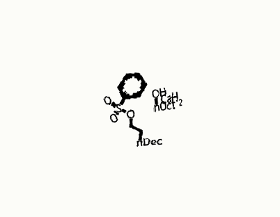 CCCCCCCCCCCCOS(=O)(=O)c1ccccc1.CCCCCCCCO.[CaH2]